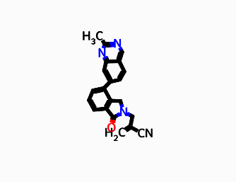 C=C(C#N)CN1Cc2c(cccc2-c2ccc3cnc(C)nc3c2)C1=O